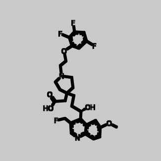 COc1ccc2ncc(CF)c([C@H](O)CCC3(CC(=O)O)CCN(CCOc4cc(F)cc(F)c4F)CC3)c2c1